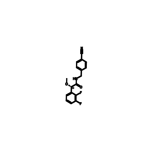 CO[C@H](C(=O)NCc1ccc(C#N)cc1)c1cccc(F)c1F